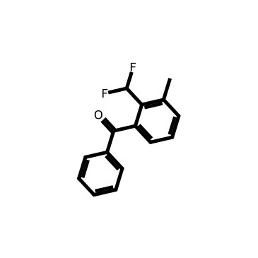 Cc1cccc(C(=O)c2ccccc2)c1C(F)F